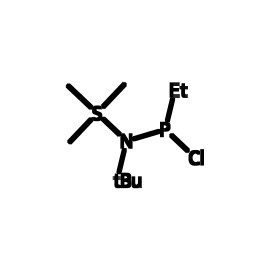 CCP(Cl)N(C(C)(C)C)S(C)(C)C